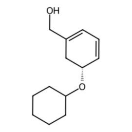 OCC1=CC=C[C@H](OC2CCCCC2)C1